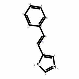 C(=C\c1cncs1)/c1ccccc1